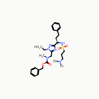 CCN(CC)CCCS(=O)(=O)N[C@H](CCc1ccccc1)c1nc(CN(C)C(=O)OCc2ccccc2)n(CC(=O)O)n1